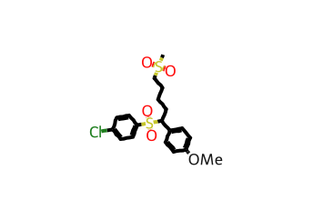 COc1ccc(C(CCCCS(C)(=O)=O)S(=O)(=O)c2ccc(Cl)cc2)cc1